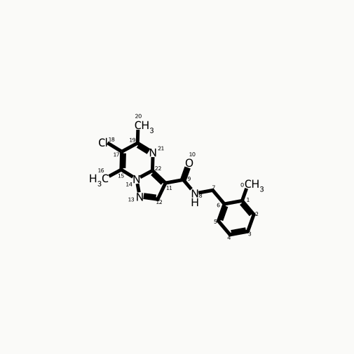 Cc1ccccc1CNC(=O)c1cnn2c(C)c(Cl)c(C)nc12